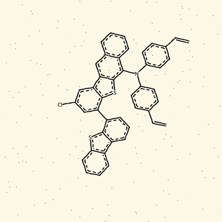 C=Cc1ccc(N(c2ccc(C=C)cc2)c2c3ccccc3cc3c2sc2c(-c4cccc5c4sc4ccccc45)cc(Cl)cc23)cc1